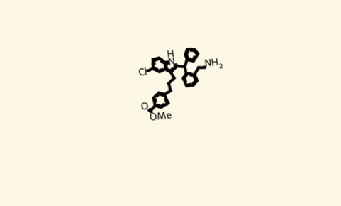 COC(=O)c1ccc(CCCc2c(C(c3ccccc3)c3ccccc3CCN)[nH]c3ccc(Cl)cc23)cc1